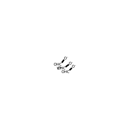 O=C[O-].O=C[O-].O=C[O-].[V+3]